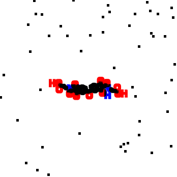 O=C(O)CCNC(=O)C1C(=O)c2ccc(C(=O)c3ccc4c(c3)C(=O)C(C(=O)NCCC(=O)O)C4=O)cc2C1=O